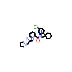 O=C(NCC1(c2ccc(Cl)cc2)CCCCC1)c1cccc2nc(CN3CCCC3)cn12